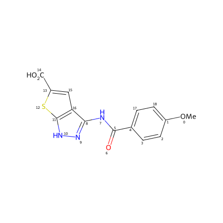 COc1ccc(C(=O)Nc2n[nH]c3sc(C(=O)O)cc23)cc1